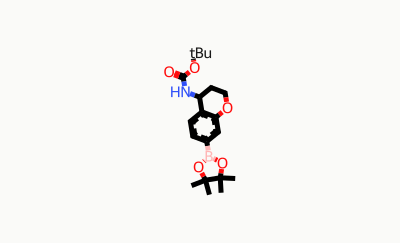 CC(C)(C)OC(=O)NC1CCOc2cc(B3OC(C)(C)C(C)(C)O3)ccc21